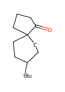 CC(C)(C)C1CCC2(CCCC2=O)CC1